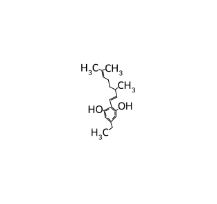 CCc1cc(O)c(/C=C/C(C)CCC=C(C)C)c(O)c1